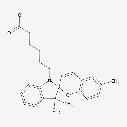 Cc1ccc2c(c1)C=CC1(O2)N(CCCCCC(=O)O)c2ccccc2C1(C)C